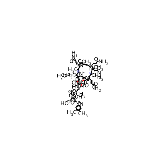 C/C1=C2/[N-]C([C@](CCC(=O)NCC(C)OP(=O)([O-])O[C@H]3[C@@H](O)[C@@H](n4cnc5cc(C)c(C)cc54)O[C@@H]3CO)(CC(N)=O)[C@H]2C)[C@@]2(C)N=C(/C(C)=C3\N=C(C=C4N=C1[C@@H](CCC(N)=O)C4(C)C)[C@@H](CCC(N)=O)[C@]3(C)CC(N)=O)[C@@H](CCC(N)=O)[C@]2(C)CC(N)=O.O.[Co+2]